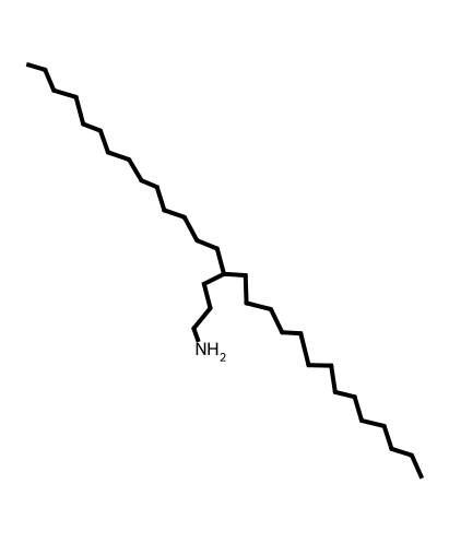 CCCCCCCCCCCCCCC(CCCN)CCCCCCCCCCCCCC